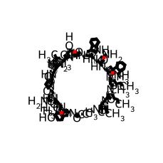 CCCC[C@H]1C(=O)N(C)[C@@H](CCCC)C(=O)N[C@@H](CC(C)C)C(=O)NCCCCC(=O)N[C@@H](Cc2ccc(O)cc2)C(=O)N(C)[C@@H](C)C(=O)N[C@@H](CC(N)=O)C(=O)N2CCC[C@H]2C(=O)N[C@@H](CN)C(=O)N[C@@H](CC(C)C)C(=O)N2C[C@H](O)C[C@H]2C(=O)N[C@@H](Cc2c[nH]c3ccccc23)C(=O)N[C@@H](CCN)C(=O)N[C@@H](Cc2c[nH]c3ccccc23)C(=O)N1C